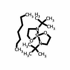 CC(C)(C)N1CCO[Si]12OCCN2C(C)(C)C.CCCCCCC